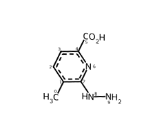 Cc1ccc(C(=O)O)nc1NN